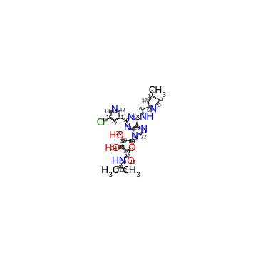 Cc1ccnc(CNc2nc(-c3cncc(Cl)c3)nc3c2ncn3[C@@H]2O[C@H](C(=O)NC(C)C)[C@@H](O)[C@H]2O)c1